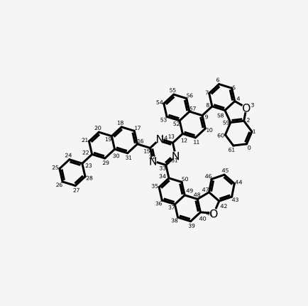 C1=Cc2oc3cccc(-c4ccc(-c5nc(-c6ccc7ccc(-c8ccccc8)cc7c6)nc(-c6ccc7ccc8oc9ccccc9c8c7c6)n5)c5ccccc45)c3c2CC1